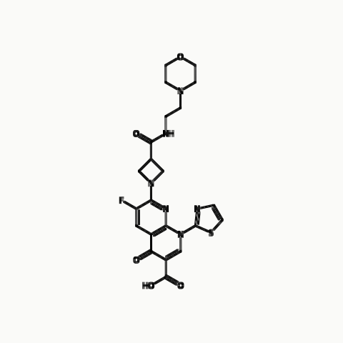 O=C(O)c1cn(-c2nccs2)c2nc(N3CC(C(=O)NCCN4CCOCC4)C3)c(F)cc2c1=O